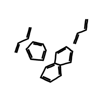 C=CC=C.C=CC=C.c1ccc2ccccc2c1.c1ccccc1